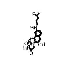 O=C1CN(c2c(O)cc3ccc(NCCCC(F)F)cc3c2F)S(=O)(=O)N1